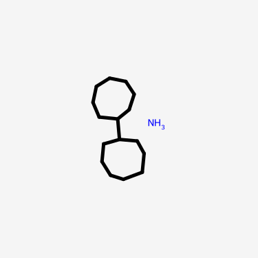 C1CCCC(C2CCCCCCC2)CCC1.N